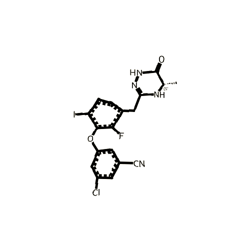 C[C@@H]1NC(Cc2ccc(I)c(Oc3cc(Cl)cc(C#N)c3)c2F)=NNC1=O